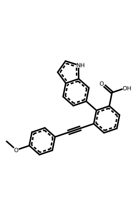 COc1ccc(C#Cc2cccc(C(=O)O)c2-c2ccc3cc[nH]c3c2)cc1